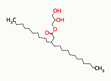 CCCCCCCCCCCCC(CCCCCCCCCC)CC(=O)OCC(O)CO